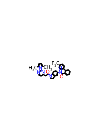 Cc1ccc(C)n1-c1nccc(CC(=O)N2CCc3cc(NC(=O)c4ccccc4-c4ccc(C(F)(F)F)cc4)ccc32)n1